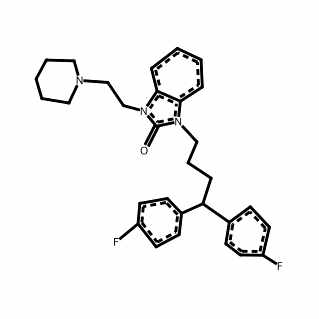 O=c1n(CCCC(c2ccc(F)cc2)c2ccc(F)cc2)c2ccccc2n1CCN1CCCCC1